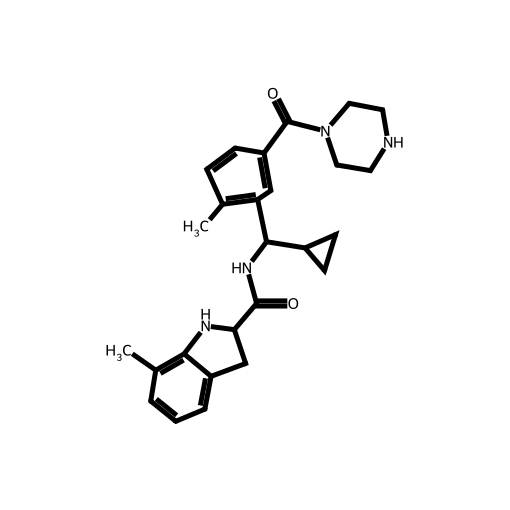 Cc1ccc(C(=O)N2CCNCC2)cc1C(NC(=O)C1Cc2cccc(C)c2N1)C1CC1